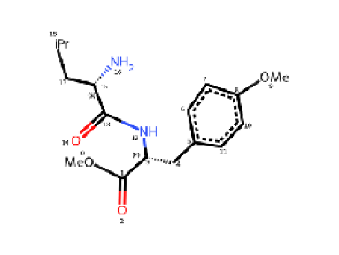 COC(=O)[C@@H](Cc1ccc(OC)cc1)NC(=O)[C@@H](N)CC(C)C